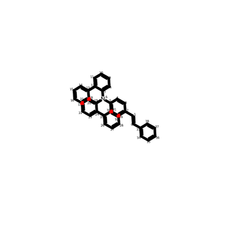 C(=C\c1ccc(N(c2ccccc2-c2ccccc2)c2ccccc2-c2ccccc2)cc1)/c1ccccc1